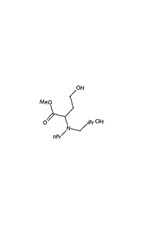 CCCN(CC(C)C)C(CCO)C(=O)OC.Cl